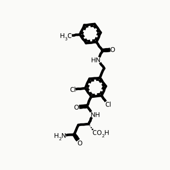 Cc1cccc(C(=O)NCc2cc(Cl)c(C(=O)N[C@@H](CC(N)=O)C(=O)O)c(Cl)c2)c1